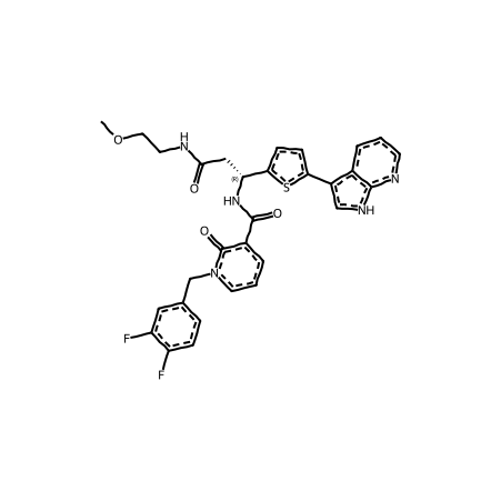 COCCNC(=O)C[C@@H](NC(=O)c1cccn(Cc2ccc(F)c(F)c2)c1=O)c1ccc(-c2c[nH]c3ncccc23)s1